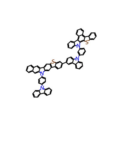 c1cc(-n2c3ccccc3c3cc(-c4ccc5c(c4)sc4cc6c7cc8ccccc8cc7n(-c7ccc(-n8c9ccccc9c9ccccc98)cc7)c6cc45)ccc32)cc(-n2c3ccccc3c3c4ccccc4c4c5ccccc5sc4c32)c1